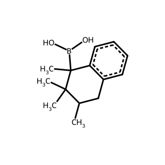 CC1Cc2ccccc2C(C)(B(O)O)C1(C)C